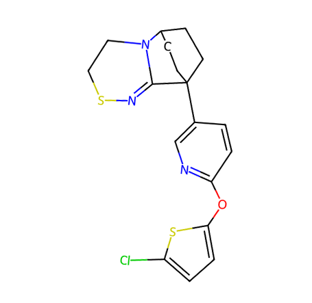 Clc1ccc(Oc2ccc(C34CCC(CC3)N3CCSN=C34)cn2)s1